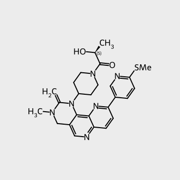 C=C1N(C)Cc2cnc3ccc(-c4ccc(SC)nc4)nc3c2N1C1CCN(C(=O)[C@H](C)O)CC1